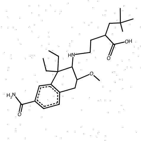 CCC1(CC)c2cc(C(N)=O)ccc2CC(OC)C1NCCC(CC(C)(C)C)C(=O)O